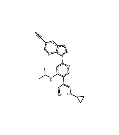 CC(C)Nc1cc(-n2ncc3cc(C#N)cnc32)ncc1/C(C=N)=C/NC1CC1